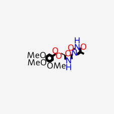 COc1cc(C(=O)OC[C@@H]2CNC[C@H](n3cc(C)c(=O)[nH]c3=O)O2)cc(OC)c1OC